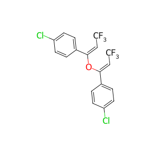 FC(F)(F)C=C(OC(=CC(F)(F)F)c1ccc(Cl)cc1)c1ccc(Cl)cc1